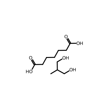 CC(CO)CO.O=C(O)CCCCCC(=O)O